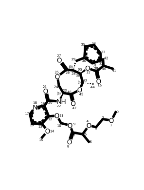 COCCOC(C)C(=O)OCOc1c(OC)ccnc1C(=O)N[C@H]1COC(=O)[C@H](Cc2ccccc2)[C@@H](OC(=O)C(C)C)[C@H](C)OC1=O